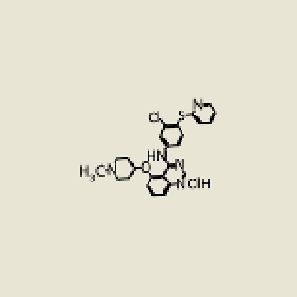 CN1CCC(Oc2cccc3ncnc(Nc4ccc(Sc5ccccn5)c(Cl)c4)c23)CC1.Cl